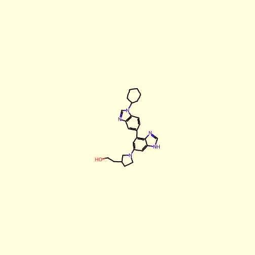 OCCC1CCN(c2cc(-c3ccc4c(c3)ncn4C3CCCCC3)c3nc[nH]c3c2)C1